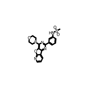 CS(=O)(=O)Nc1cccc(-c2nc(N3CCOCC3)c3oc4ncccc4c3n2)c1